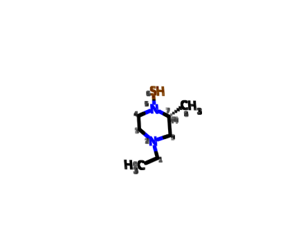 CCN1CCN(S)[C@H](C)C1